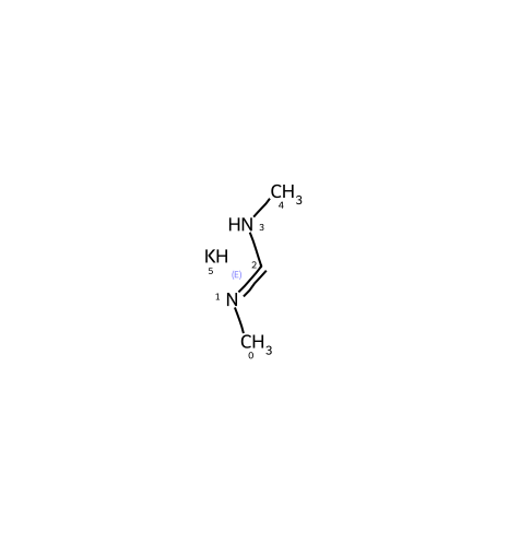 C/N=C/NC.[KH]